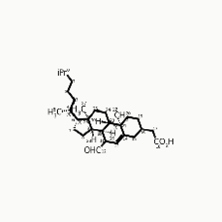 CC(C)CCC[C@@H](C)[C@H]1CC[C@H]2[C@@H]3C(C=O)C=C4CC(CC(=O)O)CC[C@]4(C)[C@H]3CC[C@]12C